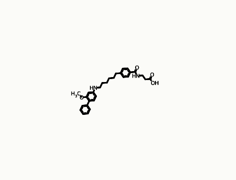 COc1cc(NCCCCCCc2ccc(C(=O)NCCC(=O)O)cc2)ccc1-c1ccccc1